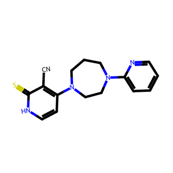 N#Cc1c(N2CCCN(c3ccccn3)CC2)cc[nH]c1=S